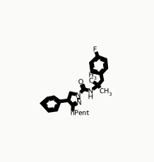 CCCCCC1=NN(C(=O)NC(C)(C)Cc2ccc(F)cc2)CC1c1ccccc1